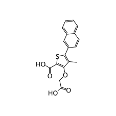 Cc1c(-c2ccc3ccccc3c2)sc(C(=O)O)c1OCC(=O)O